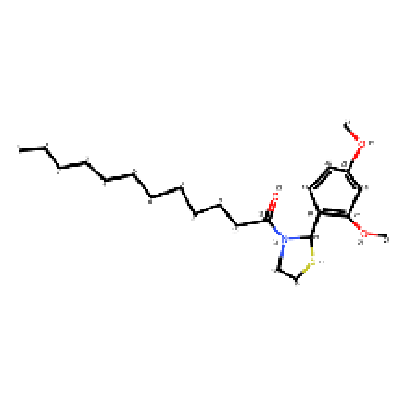 CCCCCCCCCCCC(=O)N1CCSC1c1ccc(OC)cc1OC